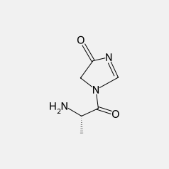 C[C@H](N)C(=O)N1C=NC(=O)C1